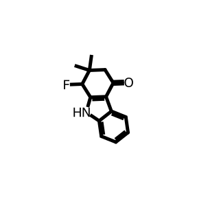 CC1(C)CC(=O)c2c([nH]c3ccccc23)C1F